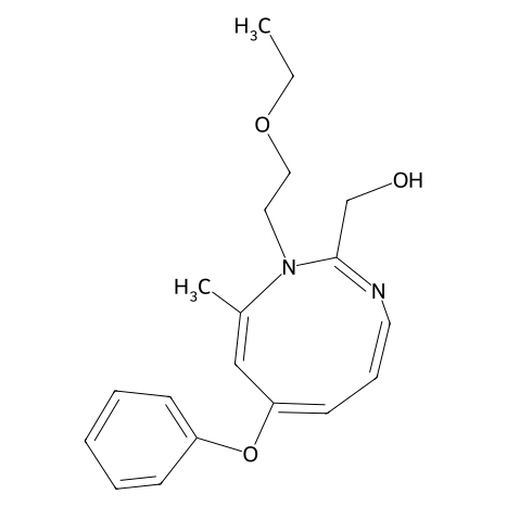 CCOCCn1c(C)cc(Oc2ccccc2)cccnc1CO